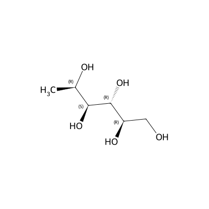 C[C@@H](O)[C@H](O)[C@H](O)[C@H](O)CO